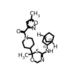 Cc1cc(C(=O)N2CCC(C3(C)OCN=C(N[C@H]4C[C@@H]5CC[C@H]4C5)S3)CC2)no1